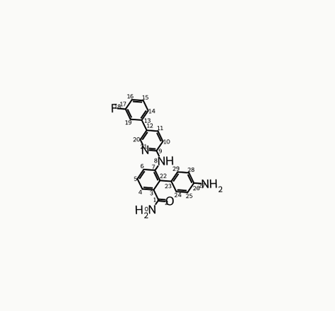 NC(=O)c1cccc(Nc2ccc(-c3cccc(F)c3)cn2)c1-c1ccc(N)cc1